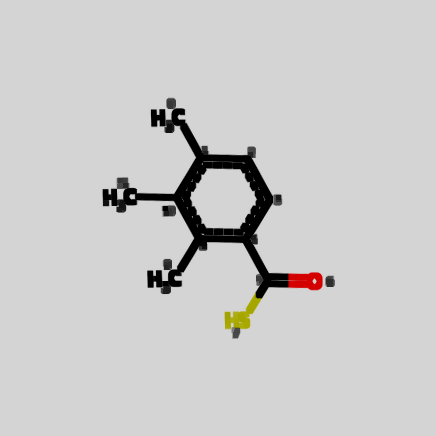 Cc1ccc(C(=O)S)c(C)c1C